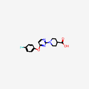 O=C(O)C1CCN(c2nccc(Oc3ccc(F)cc3)n2)CC1